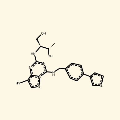 CC(C)c1cnn2c(NCc3ccc(-c4ccsc4)cc3)nc(N[C@@H](CO)[C@H](C)O)nc12